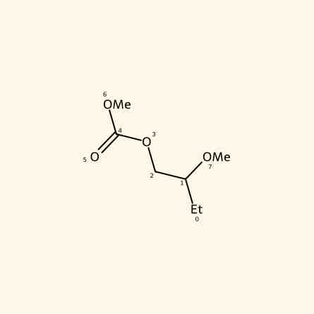 CCC(COC(=O)OC)OC